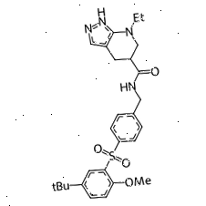 CCN1CC(C(=O)NCc2ccc(S(=O)(=O)c3cc(C(C)(C)C)ccc3OC)cc2)Cc2cn[nH]c21